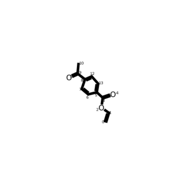 C=COC(=O)c1ccc(C(C)=O)cc1